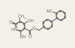 CCCc1[nH]c(=O)c(C)c(O)c1C(=O)OCc1ccc(-c2ccccc2C#N)cc1